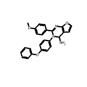 COc1ccc(C2=Nc3occc3C(N)N2c2ccc(Oc3ccccc3)cc2)cc1